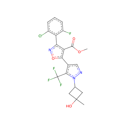 COC(=O)c1c(-c2c(F)cccc2Cl)noc1-c1cnn(C2CC(C)(O)C2)c1C(F)(F)F